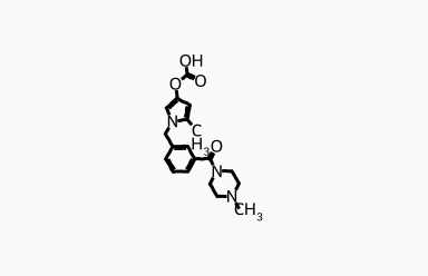 Cc1cc(OC(=O)O)cn1Cc1cccc(C(=O)N2CCN(C)CC2)c1